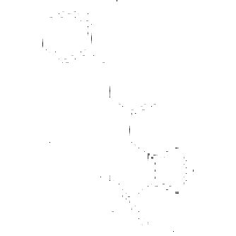 CS(=O)(=O)c1ncnn1CC(=O)CCc1ccccc1